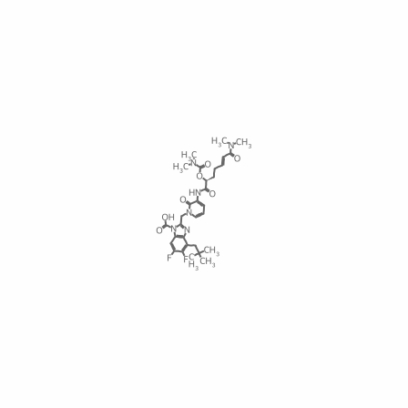 CN(C)C(=O)/C=C/CC[C@H](OC(=O)N(C)C)C(=O)Nc1cccn(Cc2nc3c(CC(C)(C)C)c(F)c(F)cc3n2C(=O)O)c1=O